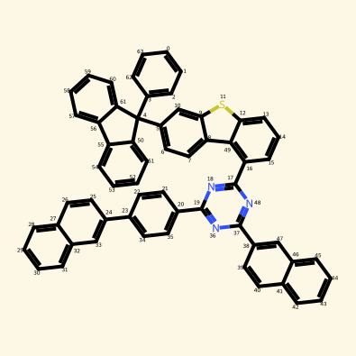 c1ccc(C2(c3ccc4c(c3)sc3cccc(-c5nc(-c6ccc(-c7ccc8ccccc8c7)cc6)nc(-c6ccc7ccccc7c6)n5)c34)c3ccccc3-c3ccccc32)cc1